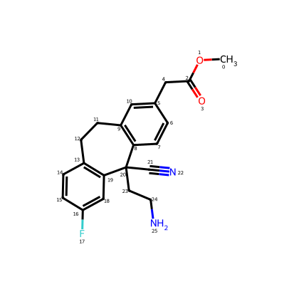 COC(=O)Cc1ccc2c(c1)CCc1ccc(F)cc1C2(C#N)CCN